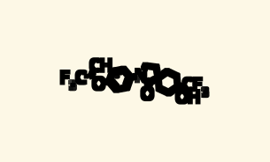 C[C@H](Oc1ccc(N2CCC3(CCC(O)(C(F)(F)F)CC3)C2=O)cc1)C(F)(F)F